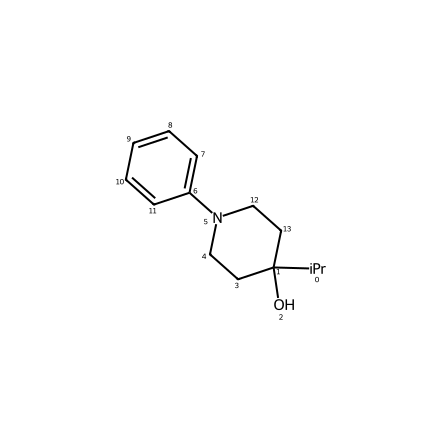 CC(C)C1(O)CCN(c2ccccc2)CC1